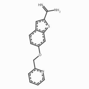 N=C(N)c1cc2ccc(OCc3ccccn3)cc2s1